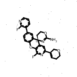 NC1=N[C@@]2(CCO1)c1cc(-c3cccnc3F)ccc1Oc1c2cc(C2=CCCOC2)nc1F